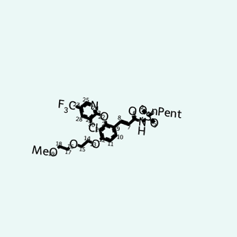 CCCCCS(=O)(=O)NC(=O)C=Cc1ccc(OCCOCCOC)cc1Oc1ncc(C(F)(F)F)cc1Cl